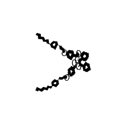 CCCCCCC[C@H]1CC[C@H](CCCOc2ccc(C(=O)O[C@H](c3ccccc3)[C@H](OC(=O)c3ccc(OCCC[C@H]4CC[C@H](CCCCCCC)CC4)cc3)c3ccccc3)cc2)CC1